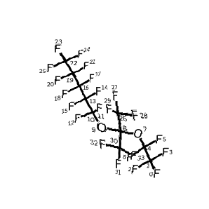 FC(F)(F)C(F)(F)OC(OC(F)(F)C(F)(F)C(F)(F)C(F)(F)C(F)(F)F)(C(F)(F)F)C(F)(F)F